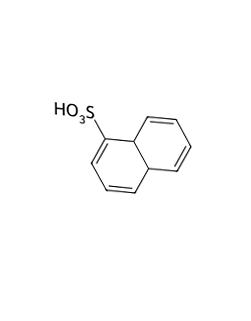 O=S(=O)(O)C1=CC=CC2C=CC=CC12